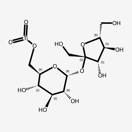 [O]=[Ti](=[O])[O]C[C@H]1O[C@H](O[C@]2(CO)O[C@H](CO)[C@@H](O)[C@@H]2O)[C@H](O)[C@@H](O)[C@@H]1O